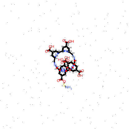 NSOC(=O)c1cc2nc(c1)-c1cc(C(=O)O)cc(n1)CN1Cc3cc(C(=O)O)cc(n3)-c3cc(C(=O)O)cc(n3)CN(Cc3cc(C(=O)O)cc(n3)-c3cc(C(=O)O)cc(n3)C1)C2